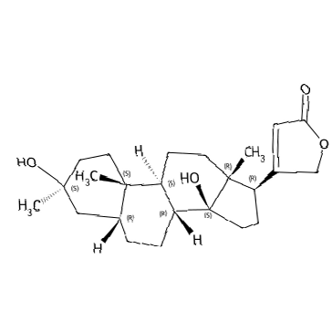 C[C@]1(O)CC[C@@]2(C)[C@H](CC[C@@H]3[C@@H]2CC[C@]2(C)[C@@H](C4=CC(=O)OC4)CC[C@]32O)C1